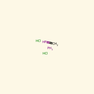 C=P.Cl.Cl.P